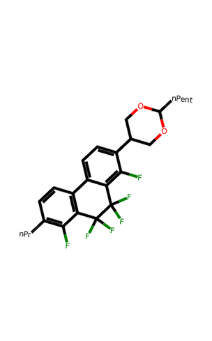 CCCCCC1OCC(c2ccc3c(c2F)C(F)(F)C(F)(F)c2c-3ccc(CCC)c2F)CO1